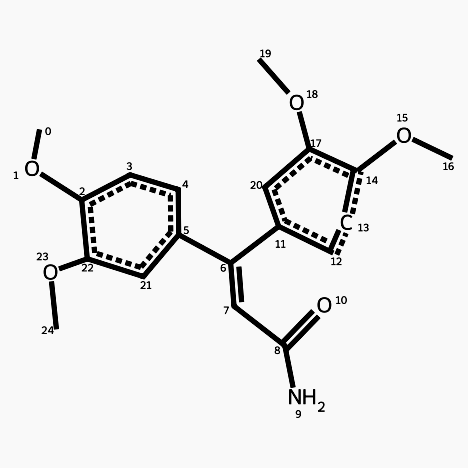 COc1ccc(C(=CC(N)=O)c2ccc(OC)c(OC)c2)cc1OC